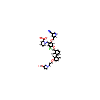 Cc1ccc(OCCCN2CC[C@@H](O)C2)c(C)c1-c1cccc(COc2cc(OCc3cncc(C#N)c3)c(CN3CCCC[C@H]3C(=O)O)cc2Cl)c1C